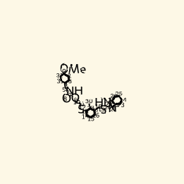 COc1ccc(CNC(=O)OCCSc2cccc(CSc3nc4ccccc4[nH]3)c2C)cc1